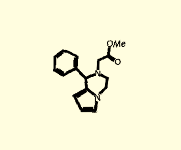 COC(=O)CN1CCn2cccc2C1c1ccccc1